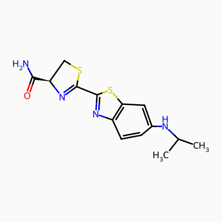 CC(C)Nc1ccc2nc(C3=N[C@@H](C(N)=O)CS3)sc2c1